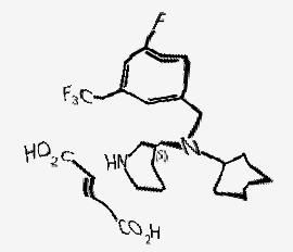 Fc1cc(CN(C2CCCC2)[C@H]2CCNC2)cc(C(F)(F)F)c1.O=C(O)C=CC(=O)O